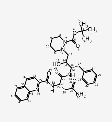 CC(C)(C)OC(=O)N1CCCCN1C[C@H](O)[C@H](Cc1ccccc1)NC(=O)[C@H](CC(N)=O)NC(=O)c1ccc2ccccc2n1